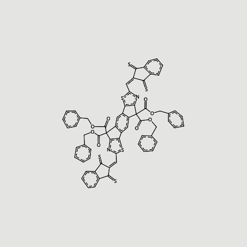 O=C(OCc1ccccc1)C1(C(=O)OCc2ccccc2)c2cc3c(cc2-c2sc(C=C4C(=S)c5ccccc5C4=S)nc21)C(C(=O)OCc1ccccc1)(C(=O)OCc1ccccc1)c1nc(C=C2C(=S)c4ccccc4C2=S)sc1-3